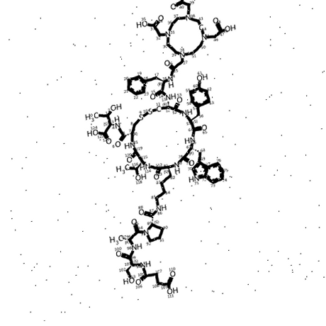 CC(O)[C@H](NC(=O)[C@@H]1CSSC[C@H](NC(=O)[C@@H](Cc2ccccc2)NC(=O)CN2CCN(CC(=O)O)CCN(CC(=O)O)CCN(CC(=O)O)CC2)C(=O)N[C@@H](Cc2ccc(O)cc2)C(=O)N[C@H](Cc2c[nH]c3ccccc23)C(=O)N[C@@H](CCCCNC(=O)[C@@H]2CCCN2C(=O)[C@@H](C)NC(=O)[C@H](CO)NC(=O)CCC(=O)O)C(=O)N[C@@H](C(C)O)C(=O)N1)C(=O)O